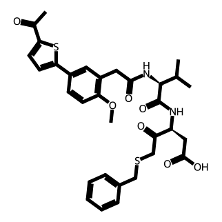 COc1ccc(-c2ccc(C(C)=O)s2)cc1CC(=O)N[C@H](C(=O)N[C@@H](CC(=O)O)C(=O)CSCc1ccccc1)C(C)C